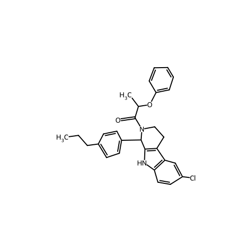 CCCc1ccc(C2c3[nH]c4ccc(Cl)cc4c3CCN2C(=O)C(C)Oc2ccccc2)cc1